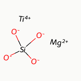 [Mg+2].[O-][Si]([O-])([O-])[O-].[Ti+4]